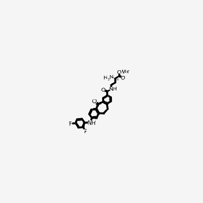 COC(=O)[C@@H](N)CCNC(=O)c1ccc2c(c1)C(=O)c1ccc(Nc3ccc(F)cc3F)cc1CC2